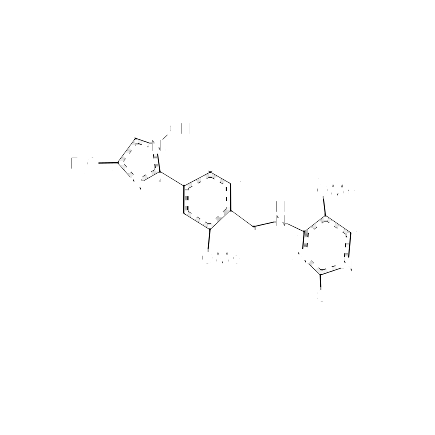 COc1cc(-c2nc(C(F)(F)F)cn2C)ccc1CNc1nc(Cl)ncc1OC